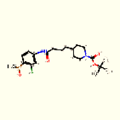 C[S+]([O-])c1ccc(NC(=O)CCCC2CCN(C(=O)OC(C)(C)C)CC2)cc1F